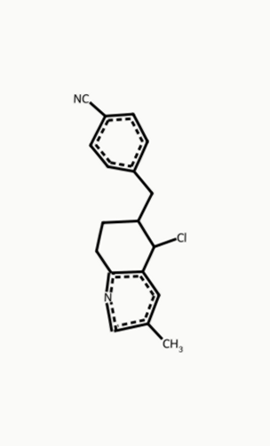 Cc1cnc2c(c1)C(Cl)C(Cc1ccc(C#N)cc1)CC2